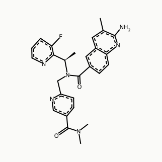 Cc1cc2cc(C(=O)N(Cc3ccc(C(=O)N(C)C)cn3)[C@H](C)c3ncccc3F)ccc2nc1N